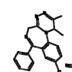 CC1=NN=C2CN=C(c3ccccc3)c3cc(Cl)ccc3N2C1C.Cl